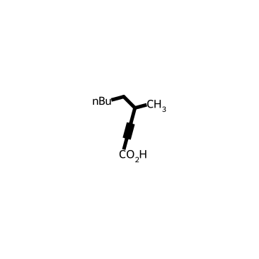 CCCCCC(C)C#CC(=O)O